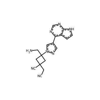 N#CCC1(C#N)CC(CN)(n2cc(-c3ncnc4[nH]ccc34)cn2)C1